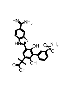 CC(C)(C(=O)O)c1cc(-c2nc3cc(C(=N)N)ccc3[nH]2)c(O)c(-c2cccc(S(N)(=O)=O)c2)c1O